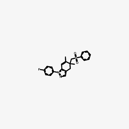 CC1=Cc2c(cnn2-c2ccc(F)cc2)CC1(C)CS(=O)(=O)c1ccccc1